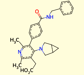 Cc1nc(C)c(-c2ccc(C(=O)NCc3ccccc3)cc2)c(N2CC3CC3C2)c1CC(=O)O